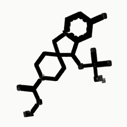 CC(C)(C)OC(=O)N1CCC2(CC1)Cn1ccc(=O)cc1C2OS(C)(=O)=O